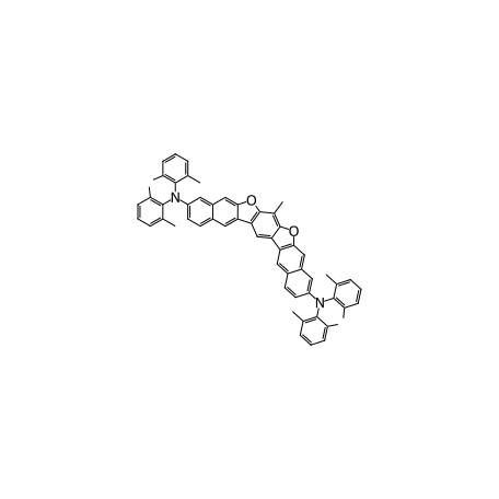 Cc1cccc(C)c1N(c1ccc2cc3c(cc2c1)oc1c(C)c2oc4cc5cc(N(c6c(C)cccc6C)c6c(C)cccc6C)ccc5cc4c2cc13)c1c(C)cccc1C